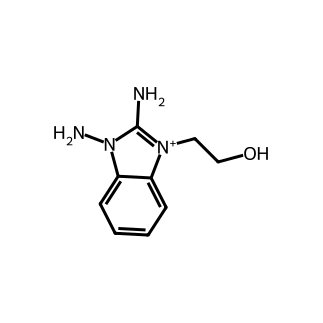 Nc1n(N)c2ccccc2[n+]1CCO